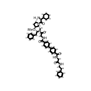 CO[C@H]1CCN(C(=O)[C@@H](N)C2CCCCC2)[C@@H]1CN(CCc1ccccc1)C(=O)CNC(=O)c1ccc(-c2ccc(C(=O)NCC(=O)NCCc3ccccc3)cc2)cc1